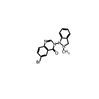 CN1Cc2ccccc2N1n1cnc2ccc(Br)cc2c1=O